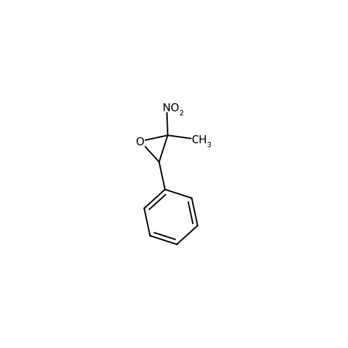 CC1([N+](=O)[O-])OC1c1ccccc1